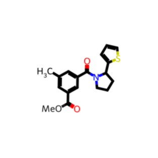 COC(=O)c1cc(C)cc(C(=O)N2CCCC2c2cccs2)c1